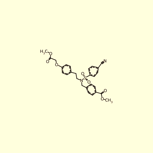 COC(=O)COc1ccc(CCN(Cc2ccc(C(=O)OC)cc2)S(=O)(=O)c2ccc(C#N)cc2)cc1